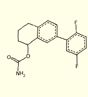 NC(=O)OC1CCCc2ccc(-c3cc(F)ccc3F)cc21